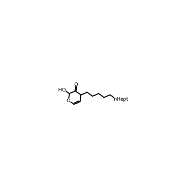 CCCCCCCCCCCCC1C=COC(O)C1=O